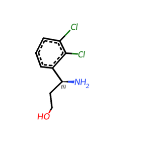 N[C@@H](CCO)c1cccc(Cl)c1Cl